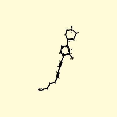 OCCCC#CC#Cc1ccc(C2=CCNCC2)cc1F